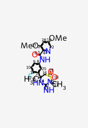 COc1cnc(C(=O)Nc2ccc(F)c([C@]3(C)CS(=O)(=O)N(C)C(=N)N3)c2)c(OC)c1